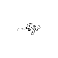 CC(C)(C)c1cc(NC(=O)NCc2ccccc2Sc2ccc3nnc(-c4ccccc4Cl)n3c2)n(-c2ccc(OCc3ccccc3)cc2)n1